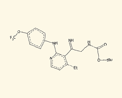 CCc1ccnc(Nc2ccc(OC(F)(F)F)cc2)c1C(=N)CNC(=O)OC(C)(C)C